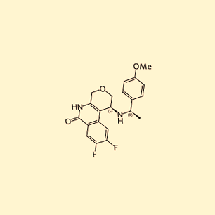 COc1ccc([C@@H](C)N[C@@H]2COCc3[nH]c(=O)c4cc(F)c(F)cc4c32)cc1